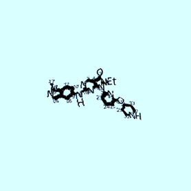 CCn1c(=O)c2cnc(Nc3ccc4c(cnn4C)c3)nc2n1-c1cccc(OC2CCNCC2)n1